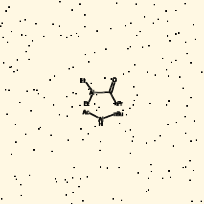 CCC[CH2][AlH][C](C)=O.CCC[C](=O)[Al]([CH2]C)[CH2]C